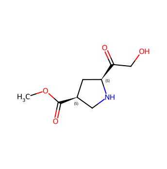 COC(=O)[C@@H]1CN[C@H](C(=O)CO)C1